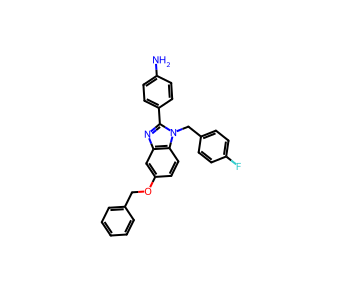 Nc1ccc(-c2nc3cc(OCc4ccccc4)ccc3n2Cc2ccc(F)cc2)cc1